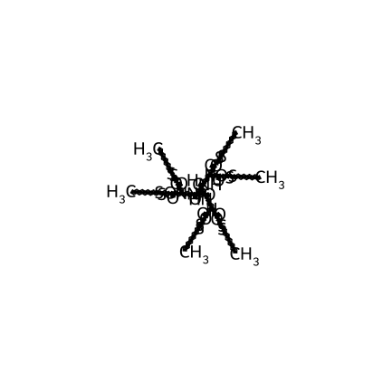 CCCCCCCCCCSSCCOC(=O)CCN(CCCNC(=O)c1cc(C(=O)NCCCN(CCC(=O)OCCSSCCCCCCCCCC)CCC(=O)OCCSSCCCCCCCCCC)cc(C(=O)NCCCN(CCC(=O)OCCSSCCCCCCCCCC)CCC(=O)OCCSSCCCCCCCCCC)c1)CCC(=O)OCCSSCCCCCCCCCC